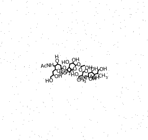 CC(=O)NC1C(O)CC(OC2(O)CC3OC(OC(CO)OC(OC(C(C)O)C(O)C(O)C(C)CO)C(NC(C)=O)C(C)O)C(O)C(O)C32)(C(=O)O)OC1CC(O)CO